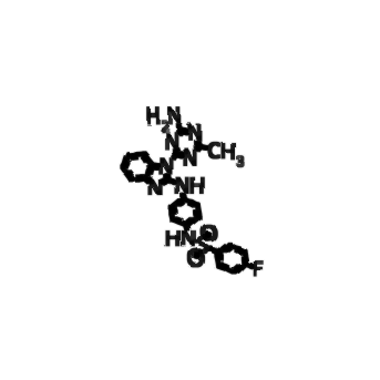 Cc1nc(N)nc(-n2c(Nc3ccc(NS(=O)(=O)c4ccc(F)cc4)cc3)nc3ccccc32)n1